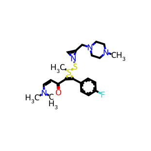 CN(C)/C=C\C(=O)C1=C(c2ccc(F)cc2)S1(C)SN1C=C1CN1CCN(C)CC1